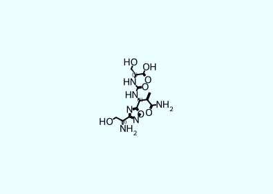 C=C(C(N)=O)[C@H](NC(=O)N[C@@H](CO)C(=O)O)c1nc([C@@H](N)CO)no1